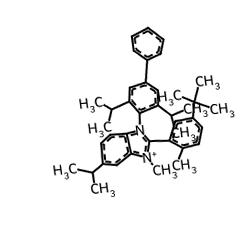 Cc1ccc(C(C)(C)C)cc1-c1n(-c2c(C(C)C)cc(-c3ccccc3)cc2C(C)C)c2ccc(C(C)C)cc2[n+]1C